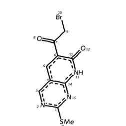 CSc1ncc2cc(C(=O)CBr)c(=O)[nH]c2n1